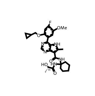 COc1cc(-c2ncnc3c(C(=O)NC4(NC(=O)[C@H](C)O)CCCCC4)c(C)[nH]c23)c(OCC2CC2)cc1F